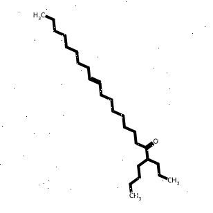 CCCCCCCCC=CCCCCCCCC(=O)C(CCC)CCCC